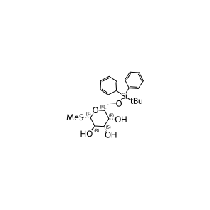 CS[C@@H]1O[C@H](CO[Si](c2ccccc2)(c2ccccc2)C(C)(C)C)[C@H](O)[C@H](O)[C@H]1O